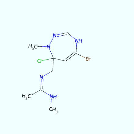 CN/C(C)=N\CC1(Cl)C=C(Br)NC=NN1C